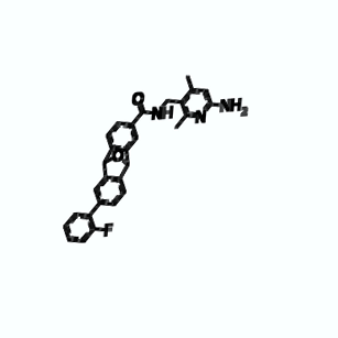 Cc1cc(N)nc(C)c1CNC(=O)c1ccc2c(c1)C1OC2c2cc(-c3ccccc3F)ccc21